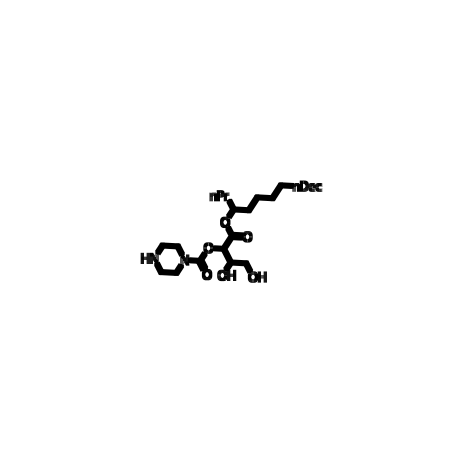 CCCCCCCCCCCCCCC(CCC)OC(=O)C(OC(=O)N1CCNCC1)C(O)CO